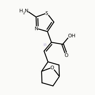 Nc1nc(/C(=C/C2CC3CCC2O3)C(=O)O)cs1